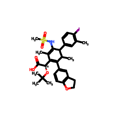 CC1=C(NS(C)(=O)=O)C(c2ccc(I)c(C)c2)C(C)C(c2ccc3c(c2)CCO3)=C1[C@H](OC(C)(C)C)C(=O)O